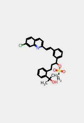 CC(C)(O)c1ccccc1CCC(OS(C)(=O)=O)c1cccc(/C=C/c2ccc3ccc(Cl)cc3n2)c1